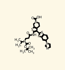 CC(C)N(CCC(=O)Nc1sc2c(c1-c1nc3cc(-n4ccnc4)ccc3s1)CCN(C(=O)O)C2)C(=O)OC(C)(C)C